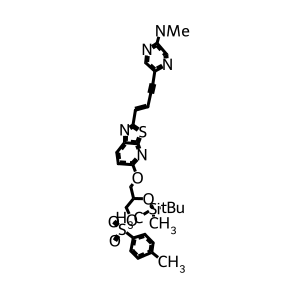 CNc1cnc(C#CC=Cc2nc3ccc(OCC(COS(=O)(=O)c4ccc(C)cc4)O[Si](C)(C)C(C)(C)C)nc3s2)cn1